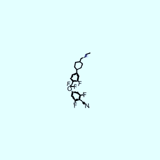 C/C=C/CC1CCC(c2ccc(C(F)(F)Oc3cc(F)c(C#N)c(F)c3)c(F)c2)CC1